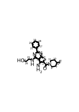 Nc1c(C(=O)N2CCC(F)CC2)sc2nc(-c3ccccc3)nc(NCCO)c12